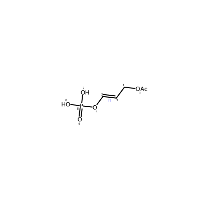 CC(=O)OC/C=C/OP(=O)(O)O